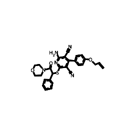 C=CCOc1ccc(-c2c(C#N)c(N)nc(SC(C(=O)N3CCOCC3)c3ccccc3)c2C#N)cc1